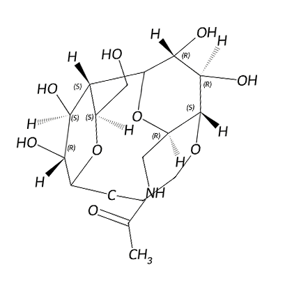 CC(=O)NC[C@H]1OC2[C@H]3[C@H](O)[C@@H](O)C(CCCO[C@H]1[C@H](O)[C@H]2O)O[C@@H]3CO